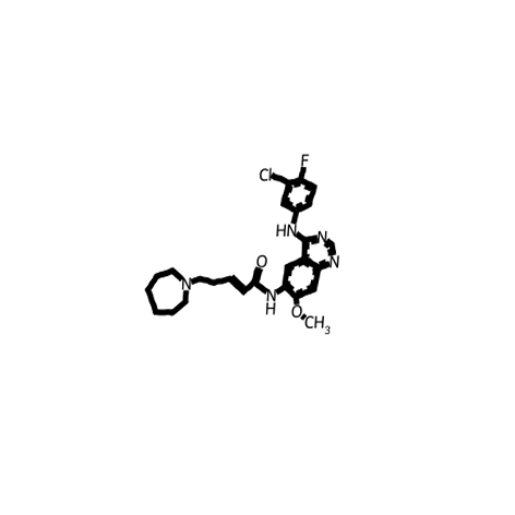 COc1cc2ncnc(Nc3ccc(F)c(Cl)c3)c2cc1NC(=O)C=CCCN1CCCCCC1